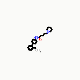 CCc1ccccc1-c1ccc(NC(=O)CCCCN2CCCCC2)cc1